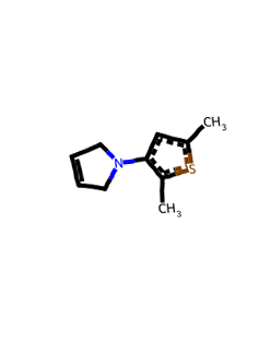 Cc1cc(N2CC=CC2)c(C)s1